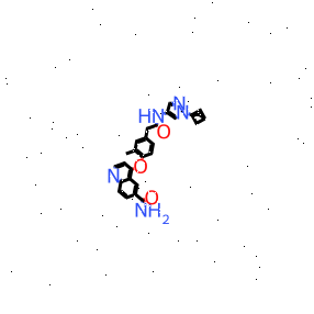 Cc1cc(CC(=O)Nc2cnn(C34CC(C3)C4)c2)ccc1Oc1ccnc2ccc(C(N)=O)cc12